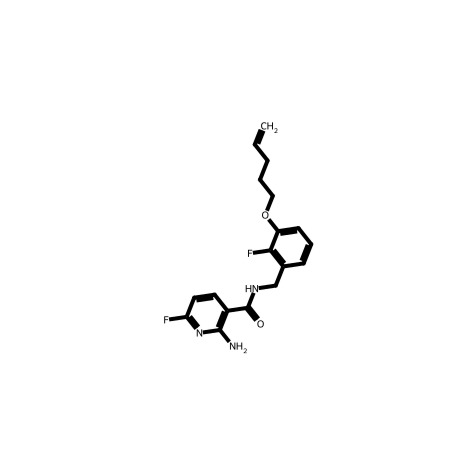 C=CCCCOc1cccc(CNC(=O)c2ccc(F)nc2N)c1F